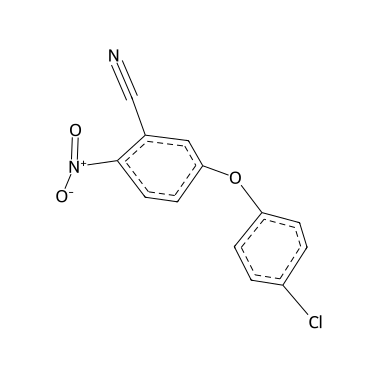 N#Cc1cc(Oc2ccc(Cl)cc2)ccc1[N+](=O)[O-]